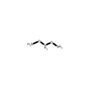 [SiH3]O[SiH2]O[SiH3]